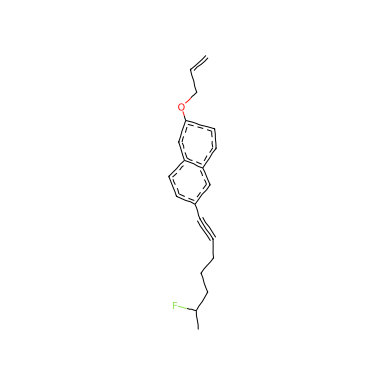 C=CCOc1ccc2cc(C#CCCCC(C)F)ccc2c1